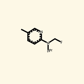 CCCN(CF)c1ccc(C)cn1